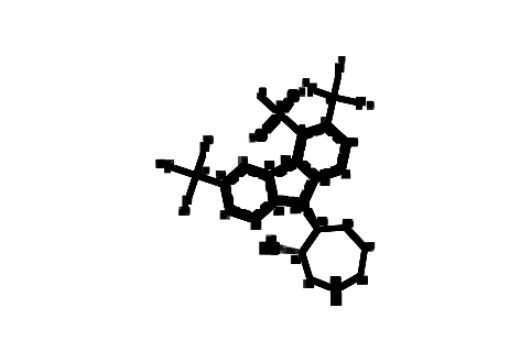 CS(=O)(=O)c1c(C(F)(F)F)ccc2c1c1cc(C(F)(F)F)ccc1n2[C@H]1CCCNC[C@@H]1O